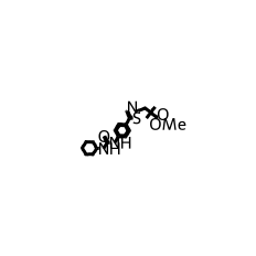 COC(=O)C(C)(C)Cc1ncc(-c2ccc(NC(=O)NC3CCCCC3)cc2)s1